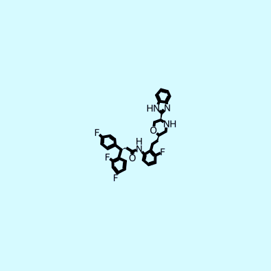 O=C(C[C@@H](c1ccc(F)cc1)c1ccc(F)cc1F)Nc1cccc(F)c1CC[C@@H]1CN[C@H](c2nc3ccccc3[nH]2)CO1